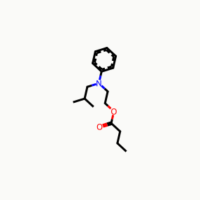 CCCC(=O)OCCN(CC(C)C)c1ccccc1